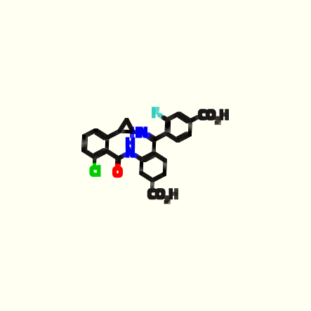 N=C(C1=C(NC(=O)c2c(Cl)cccc2C2CC2)CC(C(=O)O)CC1)c1ccc(C(=O)O)cc1F